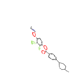 C/C=C/Oc1ccc(OC(=O)c2ccc(C3CCC(C)CC3)cc2)c(F)c1F